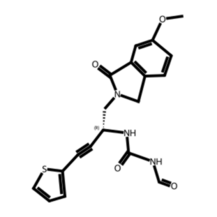 COc1ccc2c(c1)C(=O)N(C[C@@H](C#Cc1cccs1)NC(=O)NC=O)C2